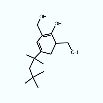 CC(C)(C)CC(C)(C)C1=CC(CO)=C(O)C(CO)C1